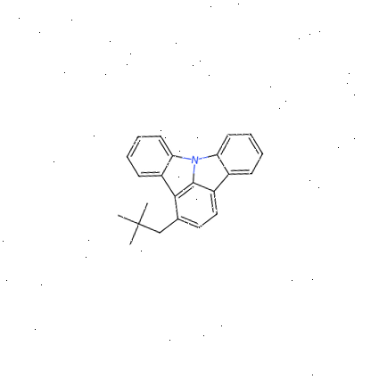 CC(C)(C)Cc1ccc2c3ccccc3n3c4ccccc4c1c23